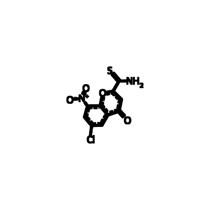 NC(=S)c1cc(=O)c2cc(Cl)cc([N+](=O)[O-])c2o1